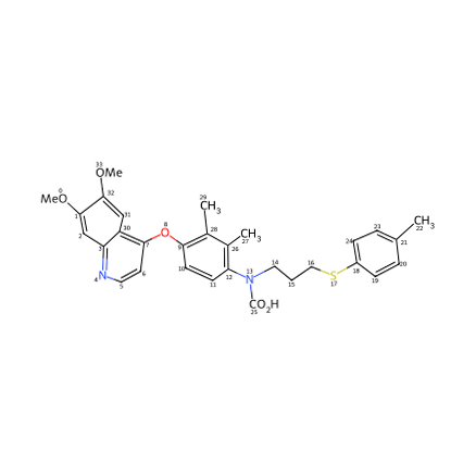 COc1cc2nccc(Oc3ccc(N(CCCSc4ccc(C)cc4)C(=O)O)c(C)c3C)c2cc1OC